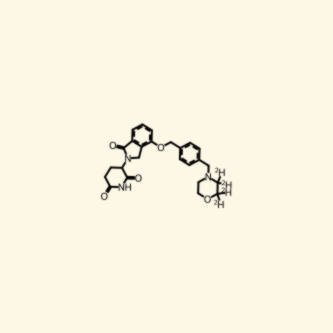 [2H]C1([2H])OCCN(Cc2ccc(COc3cccc4c3CN(C3CCC(=O)NC3=O)C4=O)cc2)C1([2H])[2H]